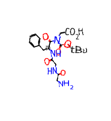 CC(C)(C)OC(=O)N(CC(=O)O)C(=O)[C@H](Cc1ccccc1)NC(=O)CNC(=O)CN